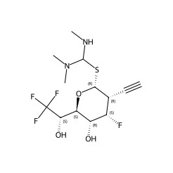 C#C[C@@H]1[C@H](F)[C@H](O)[C@@H]([C@H](O)C(F)(F)F)O[C@@H]1SC(NC)N(C)C